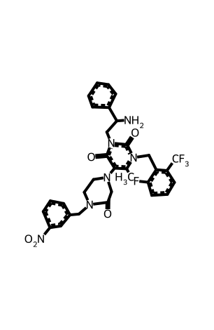 Cc1c(N2CCN(Cc3cccc([N+](=O)[O-])c3)C(=O)C2)c(=O)n(CC(N)c2ccccc2)c(=O)n1Cc1c(F)cccc1C(F)(F)F